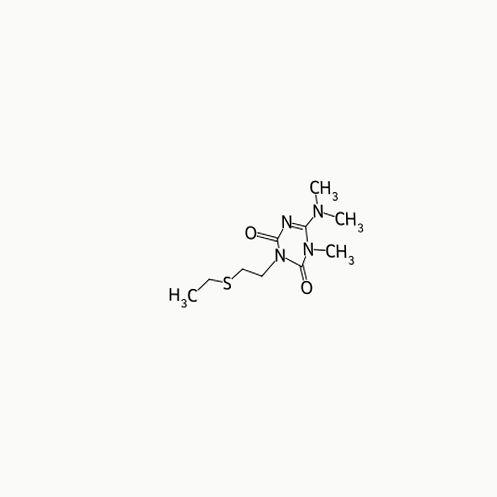 CCSCCn1c(=O)nc(N(C)C)n(C)c1=O